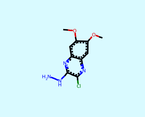 COc1cc2nc(Cl)c(NN)nc2cc1OC